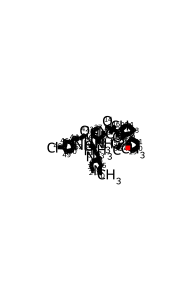 CN1CCc2nc(C(=O)NC3CN(C(=O)C(C)(C)CO[Si](c4ccccc4)(c4ccccc4)C(C)(C)C)CCC3NC(=O)c3cc4cc(Cl)ccc4[nH]3)sc2C1